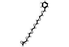 c1ccc(COCCOCCOCCOCCOCC2CO2)cc1